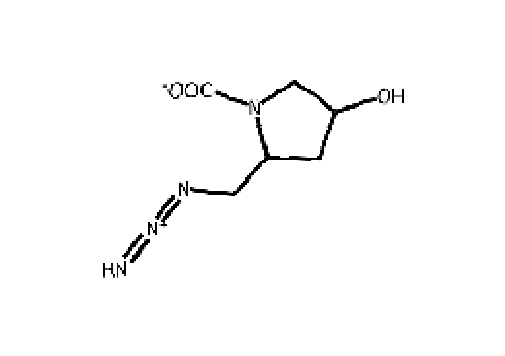 N=[N+]=NCC1CC(O)CN1C(=O)[O-]